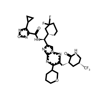 O=C(N[C@H](c1cn2nc(C[C@H]3C[C@@H](C(F)(F)F)CNC3=O)c(C3CCCOC3)nc2n1)[C@H]1CCCC(F)(F)C1)c1nonc1C1CC1